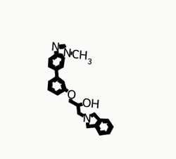 Cn1cnc2ccc(-c3cccc(OCC(O)CN4Cc5ccccc5C4)c3)cc21